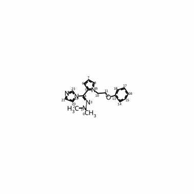 CN(C)N=C(c1cccn1CCOc1ccccc1)n1ccnc1